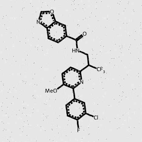 COc1ccc(C(CNC(=O)c2ccc3ncoc3c2)C(F)(F)F)nc1-c1ccc(F)c(Cl)c1